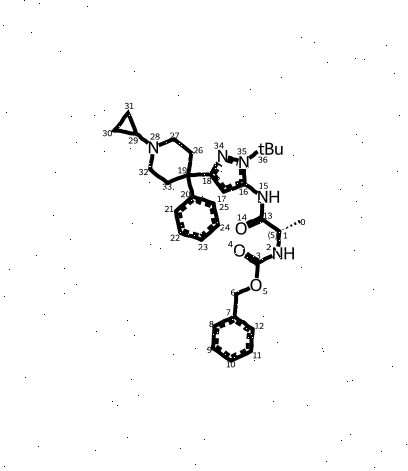 C[C@H](NC(=O)OCc1ccccc1)C(=O)Nc1cc(C2(c3ccccc3)CCN(C3CC3)CC2)nn1C(C)(C)C